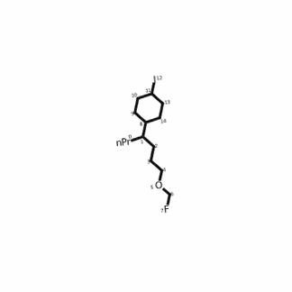 CCCC(CCCOCF)C1CCC(I)CC1